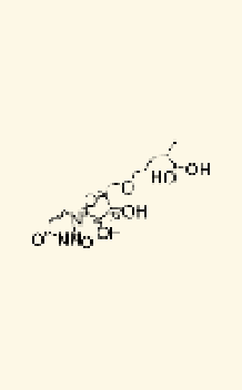 CC(CCCOC[C@H]1O[C@@H](n2ccc(=O)[nH]c2=O)[C@H](O)[C@@H]1O)C(O)O